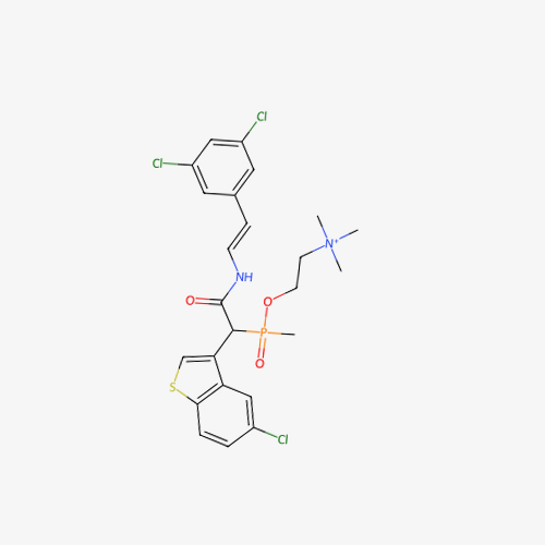 C[N+](C)(C)CCOP(C)(=O)C(C(=O)NC=Cc1cc(Cl)cc(Cl)c1)c1csc2ccc(Cl)cc12